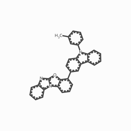 Cc1cccc(-n2c3ccccc3c3cc(-c4cccc5c4oc4nc6ccccc6n45)ccc32)c1